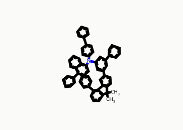 CC1(C)c2ccc(-c3cc(-c4ccccc4)cc(N(c4ccc(-c5ccccc5)cc4)c4ccc(-c5ccccc5)c5ccccc45)c3)cc2-c2c(-c3ccccc3)cccc21